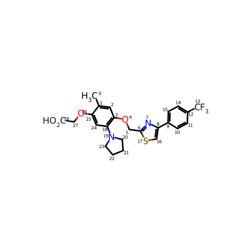 Cc1cc(OCc2nc(-c3ccc(C(F)(F)F)cc3)cs2)c(N2CCCC2)cc1OCC(=O)O